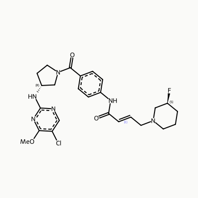 COc1nc(N[C@@H]2CCN(C(=O)c3ccc(NC(=O)/C=C/CN4CCC[C@H](F)C4)cc3)C2)ncc1Cl